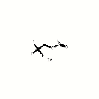 O=[SH]OCC(F)(F)F.[Zn]